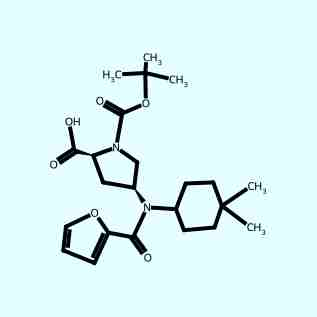 CC1(C)CCC(N(C(=O)c2ccco2)[C@H]2C[C@@H](C(=O)O)N(C(=O)OC(C)(C)C)C2)CC1